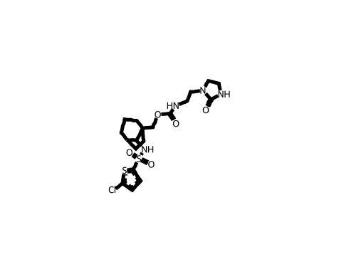 O=C(NCCN1CCNC1=O)OCC12CCCC(CC1)C2NS(=O)(=O)c1ccc(Cl)s1